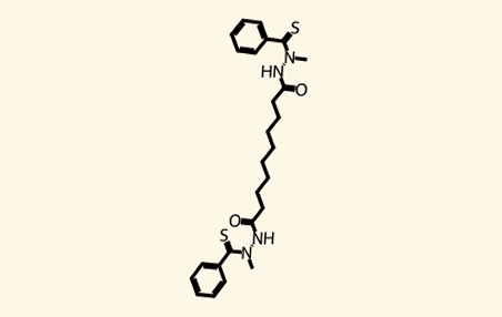 CN(NC(=O)CCCCCCCCC(=O)NN(C)C(=S)c1ccccc1)C(=S)c1ccccc1